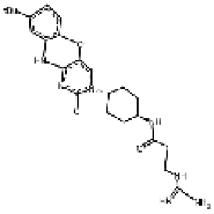 CC(C)(C)c1ccc2c(c1)Nc1nc(=O)n([C@H]3CC[C@H](NC(=O)CCNC(=N)N)CC3)cc1O2